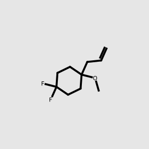 C=CCC1(OC)CCC(F)(F)CC1